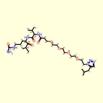 CC(C)Cc1cnnn1CCOCCOCCOCCOCCC(=O)NC(C(=O)NC(CCCNC(N)=O)C(=O)C(C)C)C(C)C